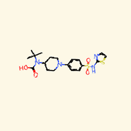 CC(C)(C)N(C(=O)O)C1CCN(c2ccc(S(=O)(=O)Nc3nccs3)cc2)CC1